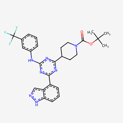 CC(C)(C)OC(=O)N1CCC(c2nc(Nc3cccc(C(F)(F)F)c3)nc(-c3cccc4[nH]ncc34)n2)CC1